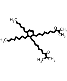 CCCCCCCCC1C(CCCCCC)C=CC(CCCCCCCC(=O)C(C)C)C1CCCCCCCC(=O)C(C)C